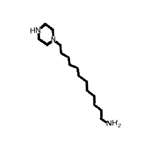 NCCCCCCCCCCCCN1CCNCC1